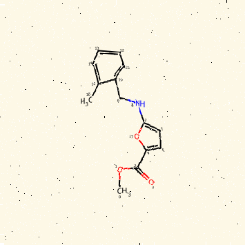 COC(=O)c1ccc(NCc2ccccc2C)o1